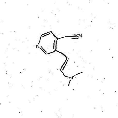 CN(C)C=Cc1cnccc1C#N